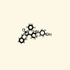 O=c1n(Cc2ccccc2F)cc(-c2ccnc(N[C@H]3CC[C@H](O)CC3)c2)n1-c1ccccc1